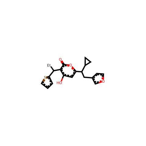 CCC(c1cccs1)c1c(O)cc(C(Cc2ccoc2)C2CC2)oc1=O